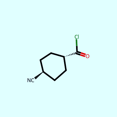 N#C[C@H]1CC[C@H](C(=O)Cl)CC1